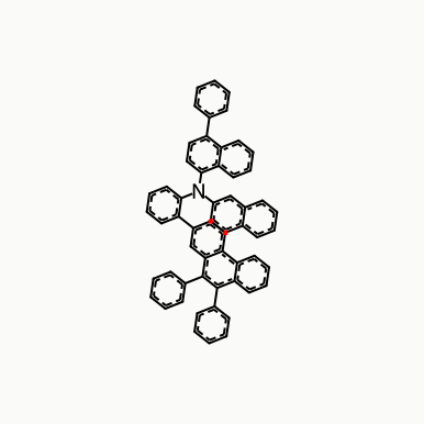 c1ccc(-c2ccc(N(c3ccc4ccccc4c3)c3ccccc3-c3ccc4c(c3)c(-c3ccccc3)c(-c3ccccc3)c3ccccc34)c3ccccc23)cc1